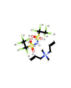 C=CC[N+](C)(C)CC=C.O=S(=O)([N-]S(=O)(=O)C(F)(F)C(F)(F)F)C(F)(F)C(F)(F)F